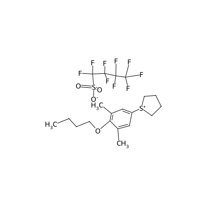 CCCCOc1c(C)cc([S+]2CCCC2)cc1C.O=S(=O)([O-])C(F)(F)C(F)(F)C(F)(F)C(F)(F)F